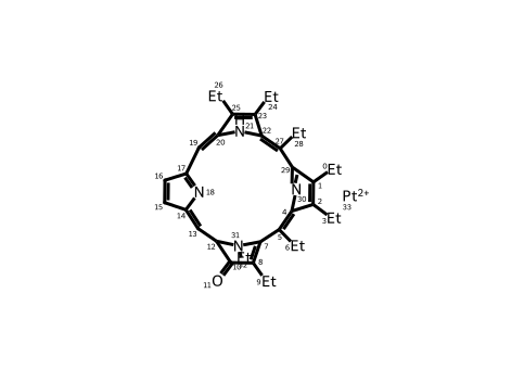 CCC1=C(CC)C2=C(CC)C3=C(CC)C(=O)C(C=C4C=CC(=N4)C=c4[nH]c(c(CC)c4CC)=C(CC)C1=N2)N3CC.[Pt+2]